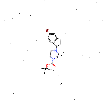 CC(C)(C)OC(=O)N1CCN(C2CCc3cc(Br)ccc32)CC1